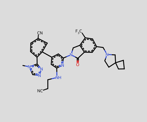 Cn1cnnc1-c1ccc(C#N)cc1-c1cc(NCCC#N)nc(N2Cc3c(cc(CN4CCC5(CCC5)C4)cc3C(F)(F)F)C2=O)c1